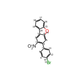 O=[N+]([O-])c1cc2c(cc1-c1ccc(Br)cc1)oc1ccccc12